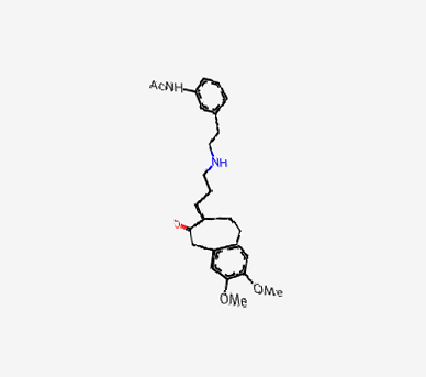 COc1cc2c(cc1OC)CC(=O)C(CCCNCCc1cccc(NC(C)=O)c1)CC2